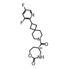 O=C1NC[C@H](C(=O)N2CCC3(CC2)CC(c2ncc(F)cc2F)C3)CCO1